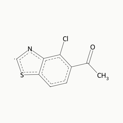 CC(=O)c1ccc2s[c]nc2c1Cl